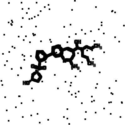 CCCN(CCC)C(O)C1=Cc2ccc(-c3cccc(S(=O)(=O)N4CC[C@H](O)C4)c3)cc2N=C(N)C1